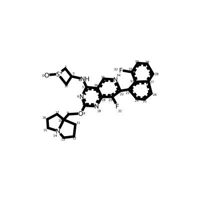 [O-][S+]1CC(Nc2nc(OCC34CCCN3CCC4)nc3c(F)c(-c4cccc5cccc(F)c45)ncc23)C1